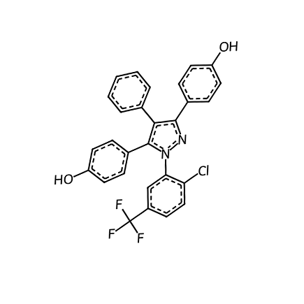 Oc1ccc(-c2nn(-c3cc(C(F)(F)F)ccc3Cl)c(-c3ccc(O)cc3)c2-c2ccccc2)cc1